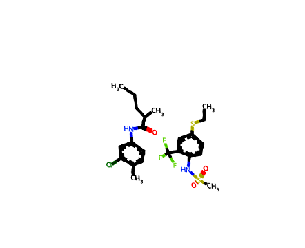 CCCC(C)C(=O)Nc1ccc(C)c(Cl)c1.CCSc1ccc(NS(C)(=O)=O)c(C(F)(F)F)c1